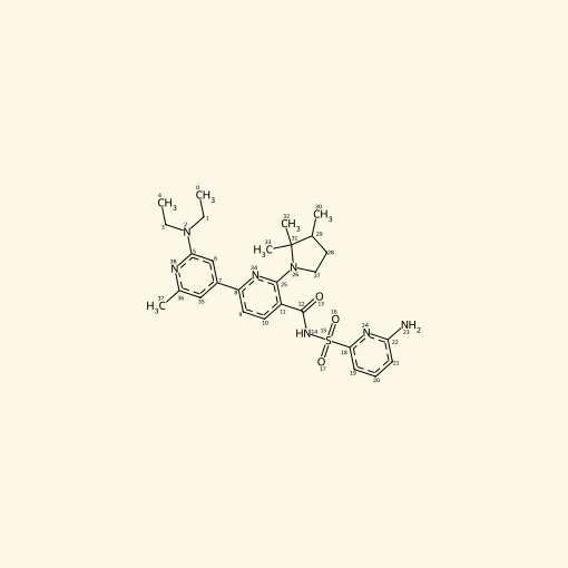 CCN(CC)c1cc(-c2ccc(C(=O)NS(=O)(=O)c3cccc(N)n3)c(N3CCC(C)C3(C)C)n2)cc(C)n1